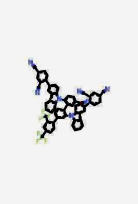 N#Cc1ccc(-c2ccc3c(c2)c2ccccc2n3-c2ccc(C#N)cc2-c2ccc(-c3ccc(C(F)(F)F)cc3C(F)(F)F)cc2-n2c3ccccc3c3cc(-c4ccc(C#N)cc4C#N)ccc32)c(C#N)c1